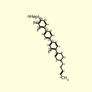 C/C=C/CCC1CC=C(c2ccc(-c3ccc(-c4ccc(CCCCCCC)c(F)c4F)cc3)cc2F)CC1